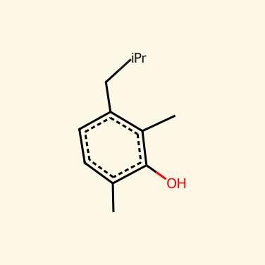 Cc1ccc(CC(C)C)c(C)c1O